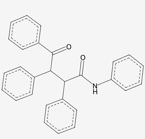 O=C(Nc1ccccc1)C(c1ccccc1)C(C(=O)c1ccccc1)c1ccccc1